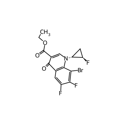 CCOC(=O)c1cn([C@@H]2C[C@H]2F)c2c(Br)c(F)c(F)cc2c1=O